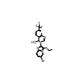 C=C(/C=C\C1=C(C)N=CN(c2nc3ccc(Br)cn3c2SCC)C1O)C(F)(F)F